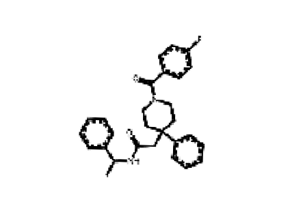 CC(NC(=O)CC1(c2ccccc2)CCN(C(=O)c2ccc(F)cc2)CC1)c1ccccc1